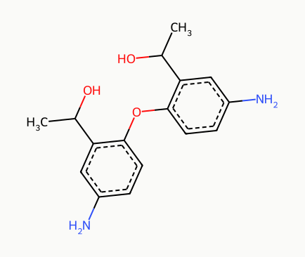 CC(O)c1cc(N)ccc1Oc1ccc(N)cc1C(C)O